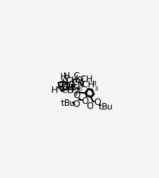 CN([C@@H](Cc1cccc(C(=O)OC(C)(C)C)c1OC(=O)OC(C)(C)C)B1OC2C[C@@H]3C[C@@H](C3(C)C)[C@]2(C)O1)[Si](C)(C)C